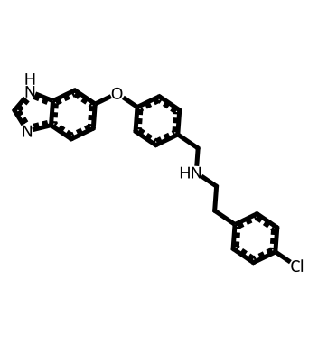 Clc1ccc(CCNCc2ccc(Oc3ccc4nc[nH]c4c3)cc2)cc1